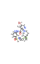 Cc1c(Br)cnc(N2CCCC(F)(F)CC2)c1C(=O)Nc1cccc(S(C)(=O)=NC(=O)O)c1